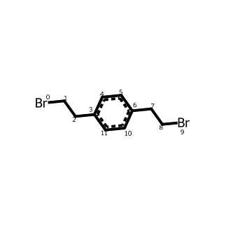 BrCCc1ccc(CCBr)cc1